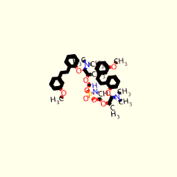 CNP(=O)(OCOC(C)[C@H](Oc1ccccc1CCc1cccc(OC)c1)N(C)C)OCOC(C)[C@H](Oc1ccccc1CCc1cccc(OC)c1)N(C)C